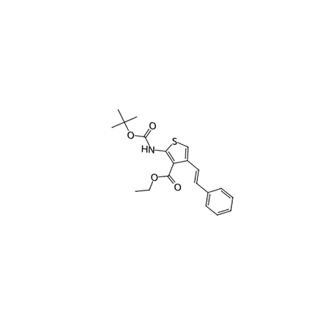 CCOC(=O)c1c(C=Cc2ccccc2)csc1NC(=O)OC(C)(C)C